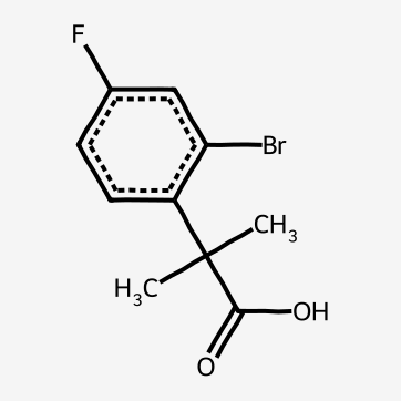 CC(C)(C(=O)O)c1ccc(F)cc1Br